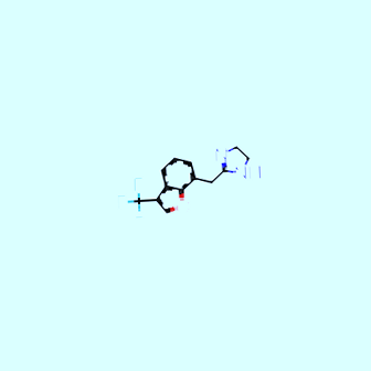 FC(F)(F)c1coc2c(CC3=NCCN3)cccc12